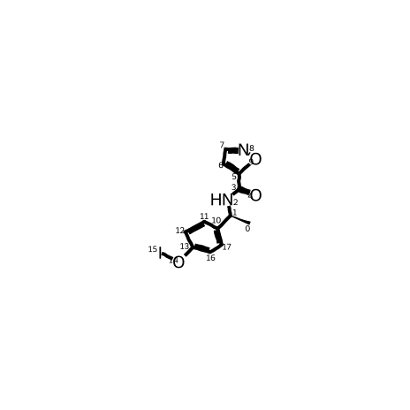 C[C@H](NC(=O)c1ccno1)c1ccc(OI)cc1